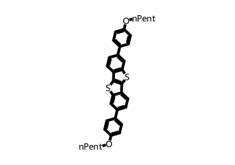 CCCCCOc1ccc(-c2ccc3c(c2)sc2c4ccc(-c5ccc(OCCCCC)cc5)cc4sc32)cc1